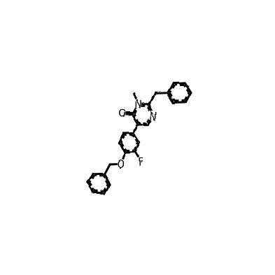 Cn1c(Cc2ccccc2)ncc(-c2ccc(OCc3ccccc3)c(F)c2)c1=O